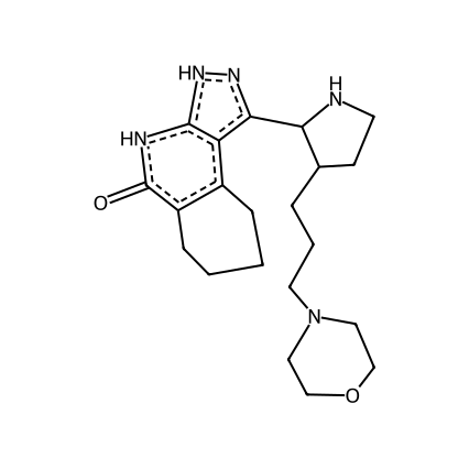 O=c1[nH]c2[nH]nc(C3NCCC3CCCN3CCOCC3)c2c2c1CCCC2